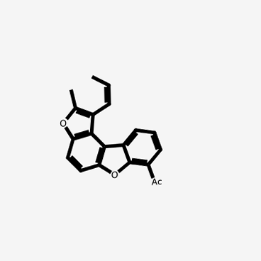 C/C=C\c1c(C)oc2ccc3oc4c(C(C)=O)cccc4c3c12